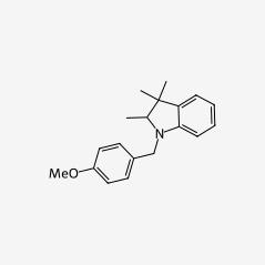 COc1ccc(CN2c3ccccc3C(C)(C)C2C)cc1